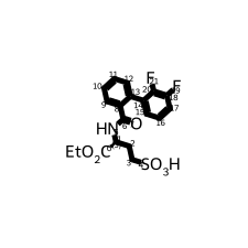 CCOC(=O)[C@H](CCS(=O)(=O)O)NC(=O)c1ccccc1-c1cccc(F)c1F